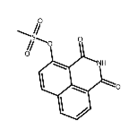 CS(=O)(=O)Oc1ccc2cccc3c2c1C(=O)NC3=O